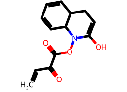 C=CC(=O)C(=O)ON1C(O)=CCC2C=CC=CC21